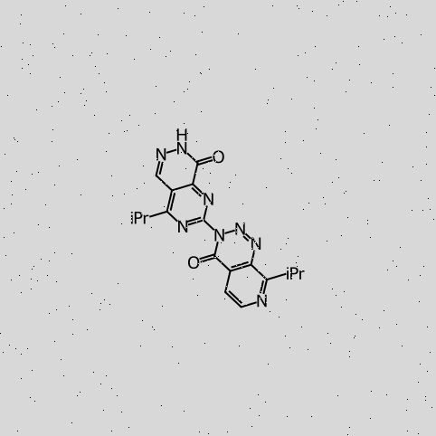 CC(C)c1nc(-n2nnc3c(C(C)C)nccc3c2=O)nc2c(=O)[nH]ncc12